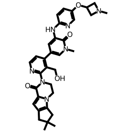 CN1CC(Oc2ccc(Nc3cc(-c4ccnc(N5CCn6c(cc7c6CC(C)(C)C7)C5=O)c4CO)cn(C)c3=O)nc2)C1